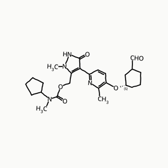 Cc1nc(-c2c(COC(=O)N(C)C3CCCC3)n(C)[nH]c2=O)ccc1O[C@H]1CCCC(C=O)C1